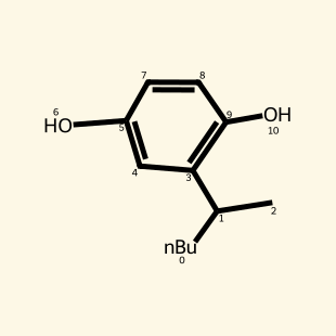 CCCCC(C)c1cc(O)ccc1O